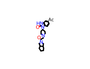 CC(=O)c1ccc2c(c1)[nH]c(=O)n2C1CCN(CC(=O)N2CC3CCCCC3C2)CC1